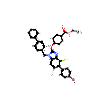 CCOC(=O)C1CCC(Oc2nc3c(F)c(-c4ccc(Br)cc4)c(F)cc3n2Cc2ccc(-c3ccccc3)cc2)CC1